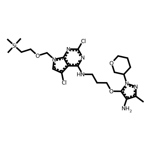 Cc1nn(C2CCCOC2)c(OCCCNc2nc(Cl)nc3c2c(Cl)cn3COCC[Si](C)(C)C)c1N